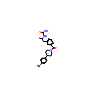 CC(Cc1cccc(C(=O)N2CCC(c3ccc(C#N)cc3)CC2)c1)NC(N)=O